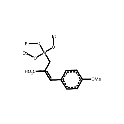 CCO[Si](CC(=Cc1ccc(OC)cc1)C(=O)O)(OCC)OCC